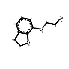 BrCCOc1cccc2c1OCC2